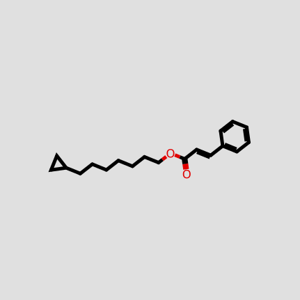 O=C(C=Cc1ccccc1)OCCCCCCCC1CC1